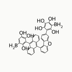 Bc1cc(O)c(O)c(-c2c3ccccc3c(-c3cccc4oc5cc(-c6c(O)c(B)c(O)c(O)c6O)ccc5c34)c3ccccc23)c1O